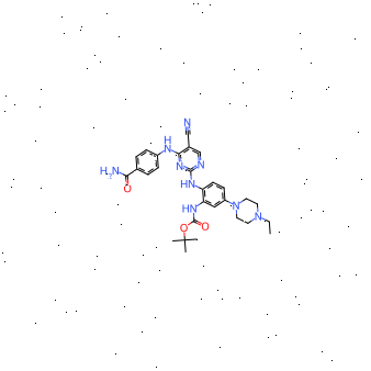 CCN1CCN(c2ccc(Nc3ncc(C#N)c(Nc4ccc(C(N)=O)cc4)n3)c(NC(=O)OC(C)(C)C)c2)CC1